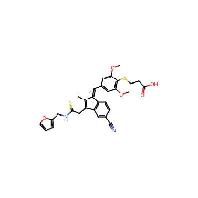 COc1cc(/C=C2/C(C)=C(CC(=S)NCc3ccco3)c3cc(C#N)ccc32)cc(OC)c1SCCC(=O)O